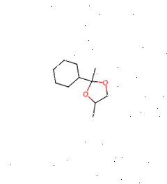 CC1COC(C)(C2CCCCC2)O1